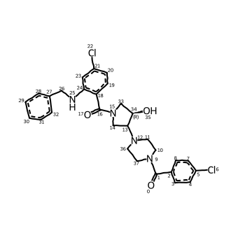 O=C(c1ccc(Cl)cc1)N1CCN(C2CN(C(=O)c3ccc(Cl)cc3NCc3ccccc3)C[C@H]2O)CC1